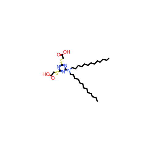 CCCCCCCCCCCCCN(CCCCCCCCCCCCC)c1nc(SCC(=O)O)nc(SCC(=O)O)n1